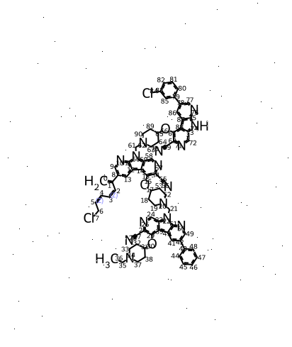 C=C(/C=C\C=C/CCl)c1cnc2c(c1)c1c(OC3CCN(Cn4c5cnc(C#N)c(OC6CCN(CC)CC6)c5c5cc(-c6ccccc6)cnc54)CC3)c(C#N)ncc1n2CN1CCC(Oc2c(C#N)ncc3[nH]c4ncc(-c5cccc(Cl)c5)cc4c23)CC1